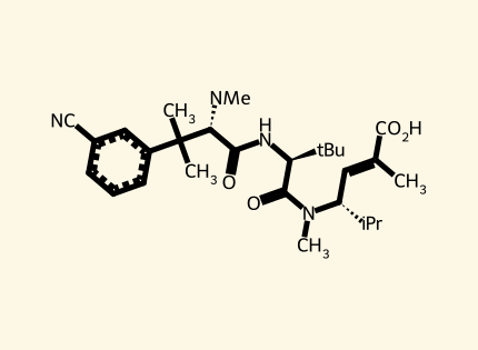 CN[C@H](C(=O)N[C@H](C(=O)N(C)[C@H](/C=C(\C)C(=O)O)C(C)C)C(C)(C)C)C(C)(C)c1cccc(C#N)c1